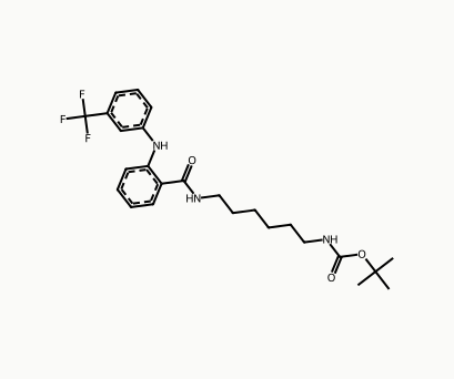 CC(C)(C)OC(=O)NCCCCCCNC(=O)c1ccccc1Nc1cccc(C(F)(F)F)c1